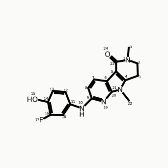 CN1CCc2c(c3ccc(Nc4ccc(O)c(F)c4)nc3n2C)C1=O